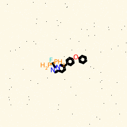 FC(P)(P)c1ncc2ccc(-c3ccc(Oc4ccccc4)cc3)cn12